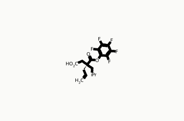 C=CC[C@@](CC(=O)O)(CC(C)C)C(=O)Oc1c(F)c(F)c(F)c(F)c1F